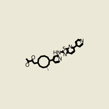 CC(=O)C(=O)CC1CCCCC(c2ccnc(Nc3nc4ccc(-c5ccncc5)nc4s3)c2)C[C@H](C)CC1